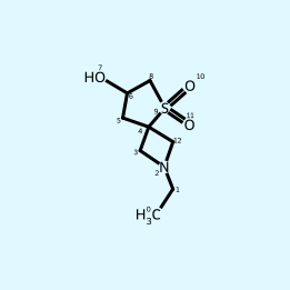 CCN1CC2(CC(O)CS2(=O)=O)C1